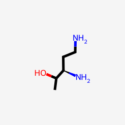 CC(O)[C@H](N)CCN